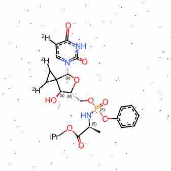 [2H]c1cn([C@@H]2O[C@H](CO[P@@](=O)(N[C@@H](C)C(=O)OC(C)C)Oc3ccccc3)[C@@H](O)C23C([2H])C3[2H])c(=O)[nH]c1=O